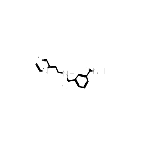 NC(=O)c1cccc(C(=O)NCCc2cnccn2)c1